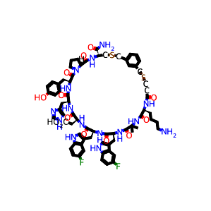 CC1(C)NC(=O)[C@H](CCCCN)NC(=O)CCSCc2cccc(c2)CSC[C@@H](C(N)=O)NC(=O)[C@@H]2CCCN2C(=O)[C@H](Cc2ccc(O)cc2)NC(=O)[C@H](Cc2c[nH]cn2)NC(=O)[C@H](CC(=O)O)NC(=O)[C@H](Cc2c[nH]c3ccc(F)cc23)NC(=O)[C@H](Cc2c[nH]c3ccc(F)cc23)NC1=O